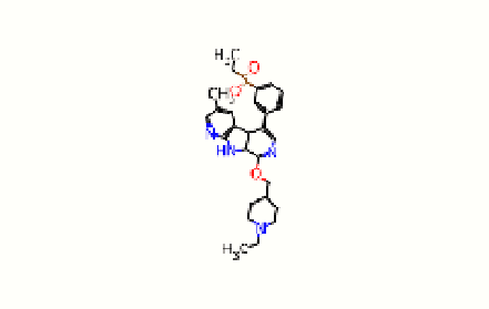 CCN1CCC(COC2=NC=C(c3cccc(S(=O)(=O)CC)c3)C3c4cc(C)cnc4NC23)CC1